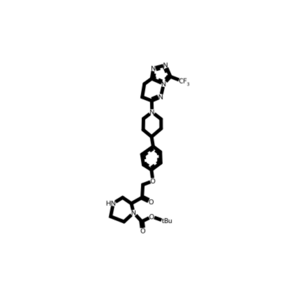 CC(C)(C)OC(=O)N1CCNCC1C(=O)COc1ccc(C2CCN(C3=Nn4c(nnc4C(F)(F)F)CC3)CC2)cc1